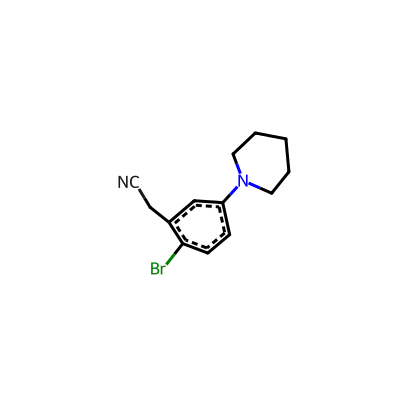 N#CCc1cc(N2CCCCC2)ccc1Br